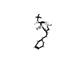 CC(C)(C)OC(=O)N[C@@H](CO)CCC1CCCCC1